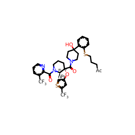 CCC[C@H]1N(C(=O)c2ncccc2C(F)(F)F)CCC[C@@]1(Oc1csc(C(F)(F)F)c1)C(=O)N1CCC(O)(c2ccccc2SCCCC(C)=O)CC1